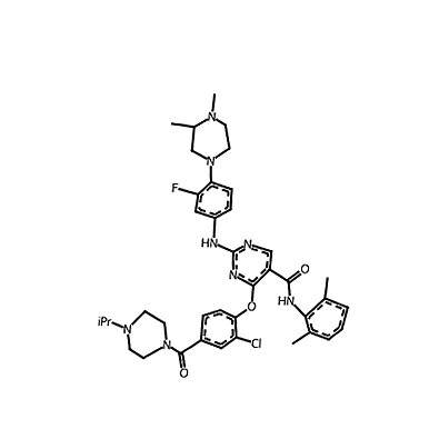 Cc1cccc(C)c1NC(=O)c1cnc(Nc2ccc(N3CCN(C)C(C)C3)c(F)c2)nc1Oc1ccc(C(=O)N2CCN(C(C)C)CC2)cc1Cl